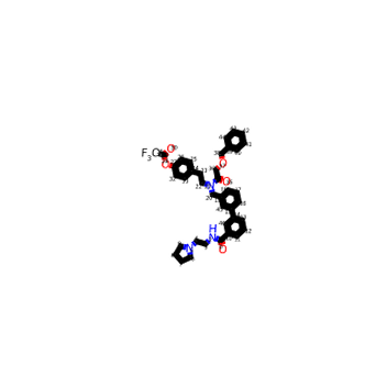 O=C(NCCN1CCCC1)c1cccc(-c2cccc(CN(CCc3ccc(OC(=O)C(F)(F)F)cc3)C(=O)COCc3ccccc3)c2)c1